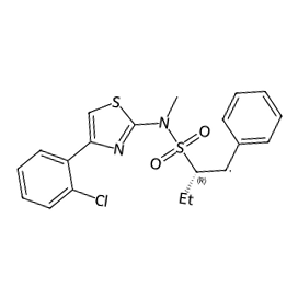 [CH2]C[C@@H]([CH]c1ccccc1)S(=O)(=O)N(C)c1nc(-c2ccccc2Cl)cs1